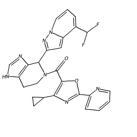 O=C(c1oc(-c2ccccn2)nc1C1CC1)N1CCc2[nH]cnc2C1c1cc2c(C(F)F)cccn2n1